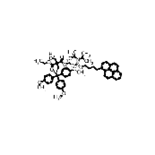 CCOC(=O)C(CC)(COC(c1ccc(OC)cc1)(c1ccc(OC)cc1)c1ccc(OC)cc1)C(=O)OCOP(OCCCCc1ccc2ccc3cccc4ccc1c2c34)N(C(C)C)C(C)C